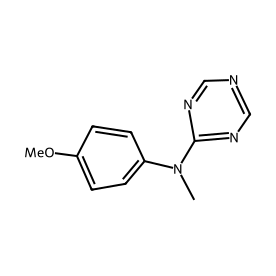 COc1ccc(N(C)c2ncncn2)cc1